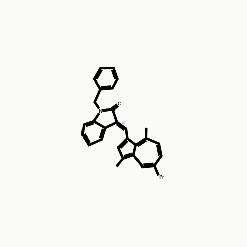 Cc1cc(/C=C2/C(=O)N(Cc3ccccc3)c3ccccc32)c2c(C)ccc(C(C)C)cc1-2